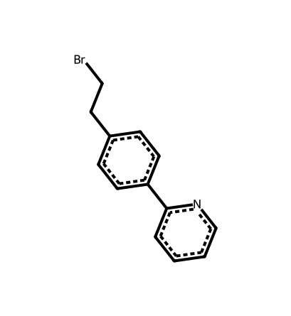 BrCCc1ccc(-c2ccccn2)cc1